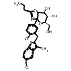 CCCC1=NC2(c3ccc(Cl)c(Cc4sc5ccc(Cl)cc5c4C)c3)O[C@H](CO)[C@@H](O)[C@H](O)C2O1